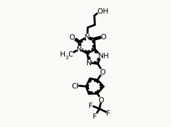 Cn1c(=O)n(CCCO)c(=O)c2[nH]c(Oc3cc(Cl)cc(OC(F)(F)F)c3)nc21